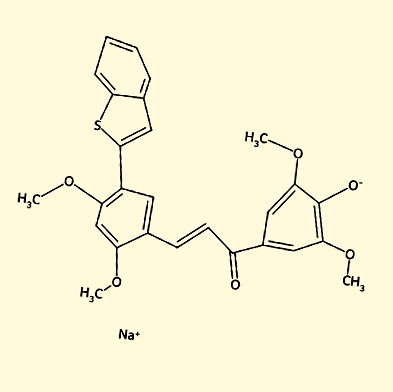 COc1cc(OC)c(-c2cc3ccccc3s2)cc1C=CC(=O)c1cc(OC)c([O-])c(OC)c1.[Na+]